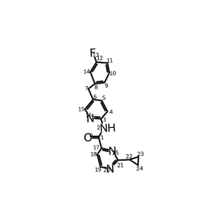 O=C(Nc1ccc(Cc2cccc(F)c2)cn1)c1ccnc(C2CC2)n1